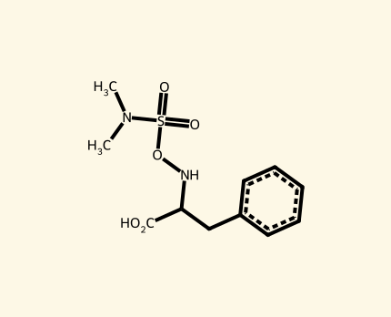 CN(C)S(=O)(=O)ONC(Cc1ccccc1)C(=O)O